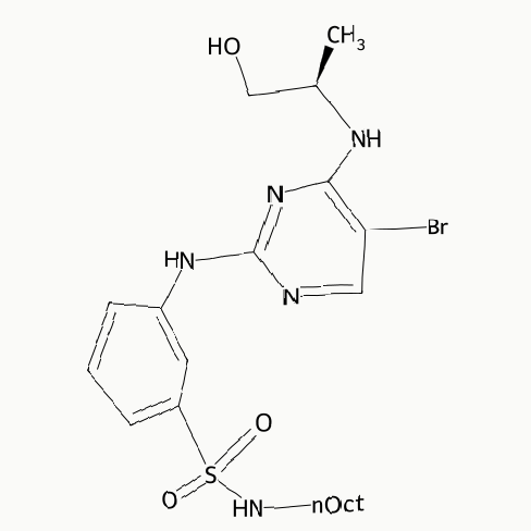 CCCCCCCCNS(=O)(=O)c1cccc(Nc2ncc(Br)c(N[C@H](C)CO)n2)c1